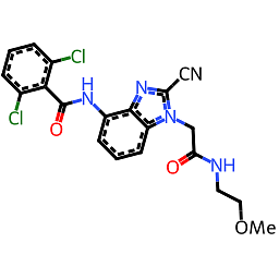 COCCNC(=O)Cn1c(C#N)nc2c(NC(=O)c3c(Cl)cccc3Cl)cccc21